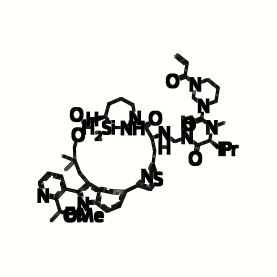 C=CC(=O)N1CCCN(C(=O)N(C)[C@H](C(=O)NCN[C@H]2Cc3nc(cs3)-c3ccc4c(c3)c(c(-c3cccnc3[C@H](C)OC)n4CC)CC(C)(C)COC(=O)[C@@H]3CCCN(N[SiH2]3)C2=O)C(C)C)C1